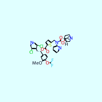 COc1cc([C@H](Cc2c(Cl)cncc2Cl)OC(=O)c2ccc(CN(C(=O)O[C@H]3CN4CCC3CC4)c3ccccn3)s2)ccc1OC(F)F